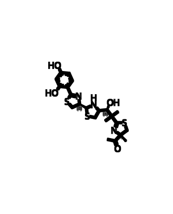 CC(=O)[C@@]1(C)CSC(C(C)(C)[C@H](O)C2CSC([C@H]3CSC(c4ccc(O)cc4O)=N3)N2)=N1